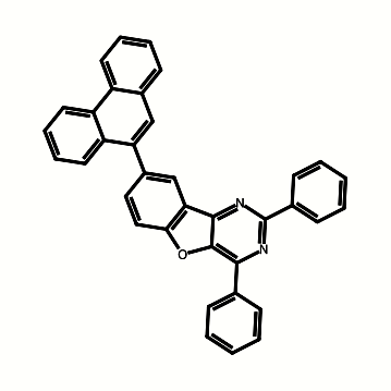 c1ccc(-c2nc(-c3ccccc3)c3oc4ccc(-c5cc6ccccc6c6ccccc56)cc4c3n2)cc1